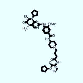 CC[C@H]1C(=O)N(C)c2cnc(Nc3ccc(C(=O)NC4CCN(CCCC(=O)N[C@H](CC(C)C)C(=O)OC5CCCC5)CC4)cc3OC)nc2N1C1CCCC1